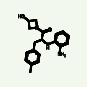 Cc1ccc(CC(Nc2ccccc2N)C(=O)N2CC(O)C2)cc1